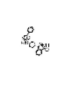 O=c1[nH]nc([C@H]2CC[C@H](Nc3ncc(-c4ccccc4)o3)CC2)c2ccccc12